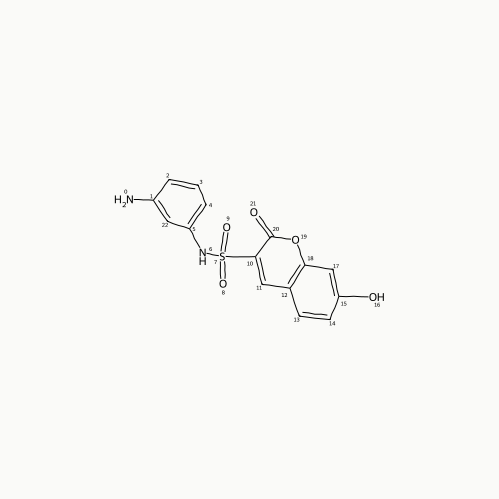 Nc1cccc(NS(=O)(=O)c2cc3ccc(O)cc3oc2=O)c1